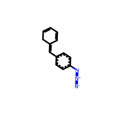 [N-]=[N+]=Nc1ccc(C=C2C=CC=CC2)cc1